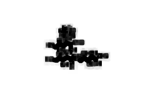 O=C[C@H](O)[C@@H](O)[C@H](O)[C@H](O)CO.O=C[C@H](O)[C@@H](O)[C@H](O)[C@H](O)CO.O=C[C@H](O)[C@@H](O)[C@H](O)[C@H](O)CO.O=C[O-].O=C[O-].O=C[O-].[Fe+3]